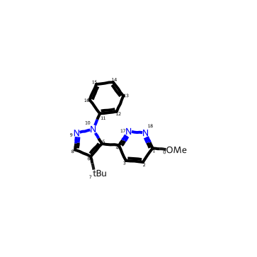 COc1ccc(-c2c(C(C)(C)C)cnn2-c2ccccc2)nn1